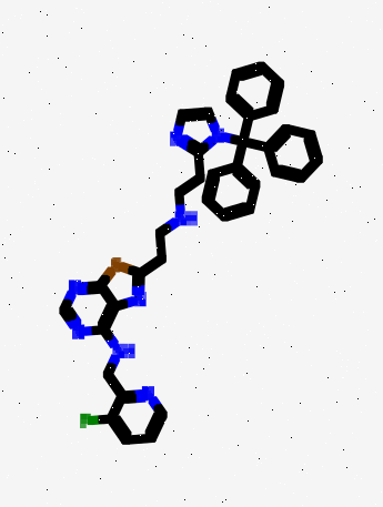 Fc1cccnc1CNc1ncnc2sc(CCNCCc3nccn3C(c3ccccc3)(c3ccccc3)c3ccccc3)nc12